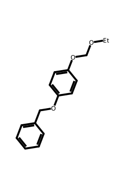 CCOCOc1ccc(OCc2ccccc2)cc1